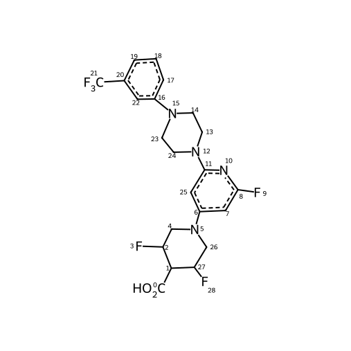 O=C(O)C1C(F)CN(c2cc(F)nc(N3CCN(c4cccc(C(F)(F)F)c4)CC3)c2)CC1F